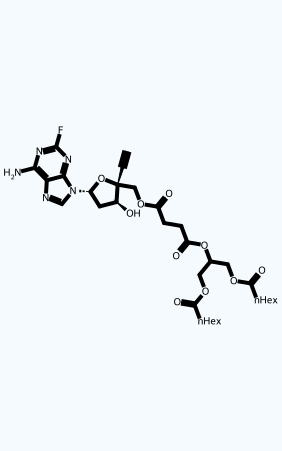 C#C[C@]1(COC(=O)CCC(=O)OC(COC(=O)CCCCCC)COC(=O)CCCCCC)O[C@@H](n2cnc3c(N)nc(F)nc32)C[C@@H]1O